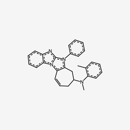 Cc1ccccc1N(C)C1CC=Cc2c(n(-c3ccccc3)c3nc4ccccc4n23)C1